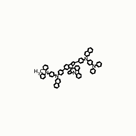 CC1CC=CC=C1N(c1ccccc1)c1ccc(N(c2ccc(-c3ccc4c(c3)[C@]3(c5ccccc5-n5c6ccccc6c6cccc3c65)C3CC(c5ccc(N(c6ccc(N(c7ccccc7)c7ccccc7)cc6)c6ccc7ccccc7c6)cc5)=CC=C43)cc2)c2ccc3ccccc3c2)cc1